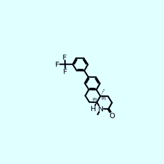 CN1C(=O)CC[C@]2(C)c3ccc(-c4cccc(C(F)(F)F)c4)cc3CC[C@@H]12